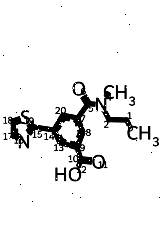 CCCN(C)C(=O)c1cc(C(=O)O)cc(-c2nccs2)c1